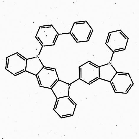 c1ccc(-c2cccc(-n3c4ccccc4c4cc5c6ccccc6n(-c6ccc7c(c6)c6ccccc6n7-c6ccccc6)c5cc43)c2)cc1